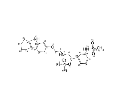 CC[Si](CC)(CC)OC(CNCCOc1ccc2c3c([nH]c2c1)CCCC3)c1cccc(NS(C)(=O)=O)c1